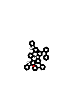 c1ccc(-c2ccccc2-c2ccc3c(c2)c2cc(-c4ccccc4-c4ccccc4)ccc2n3-c2c(-c3cccc4c3oc3ccccc34)cccc2-c2cccc3c2oc2ccccc23)cc1